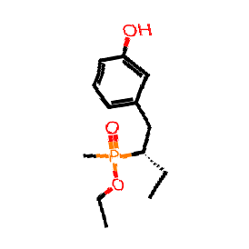 CCOP(C)(=O)[C@@H](CC)Cc1cccc(O)c1